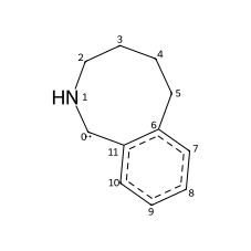 [C]1NCCCCc2ccccc21